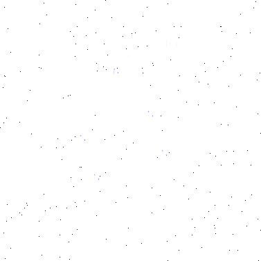 CN(CC1Cc2c(cccc2N2CCN(C3COC3)CC2)CN1C(=O)OC(C)(C)C)C1CCCc2cccnc21